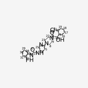 O=C(Nc1ccc(N2CCN(C(=O)C(O)c3ccccc3Cl)CC2)nc1)Nc1ccccc1F